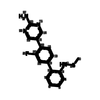 CSNc1ccccc1-c1ccc(-c2cnc(N)nc2)c(F)c1